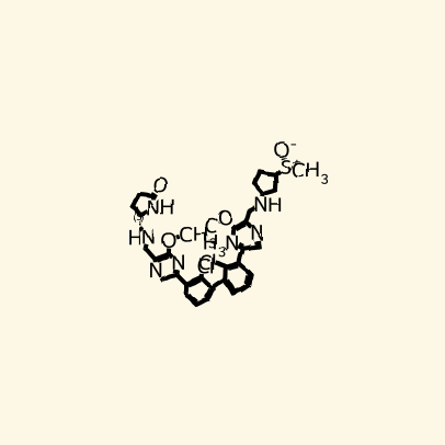 COc1nc(-c2cccc(-c3cccc(-c4cnc(CNC5CCC([S+](C)[O-])C5)c(OC)n4)c3Cl)c2Cl)cnc1CNC[C@@H]1CCC(=O)N1